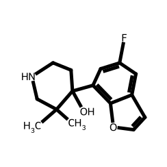 CC1(C)CNCCC1(O)c1cc(F)cc2ccoc12